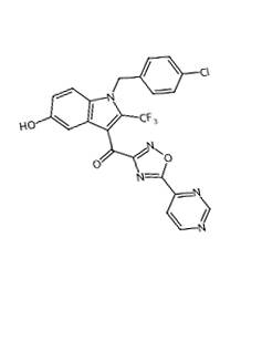 O=C(c1noc(-c2ccncn2)n1)c1c(C(F)(F)F)n(Cc2ccc(Cl)cc2)c2ccc(O)cc12